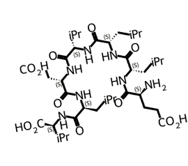 CC(C)C[C@H](NC(=O)[C@H](CC(=O)O)NC(=O)[C@@H](NC(=O)[C@H](CC(C)C)NC(=O)[C@H](CC(C)C)NC(=O)[C@@H](N)CCC(=O)O)C(C)C)C(=O)N[C@H](C(=O)O)C(C)C